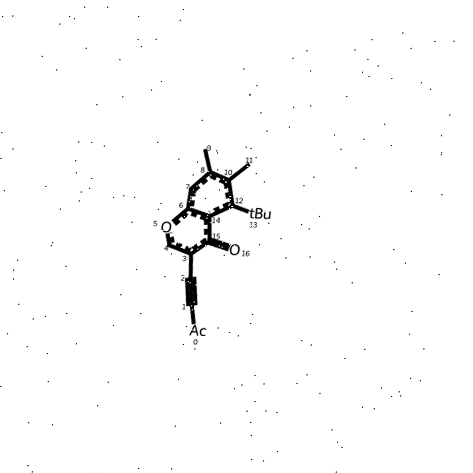 CC(=O)C#Cc1coc2cc(C)c(C)c(C(C)(C)C)c2c1=O